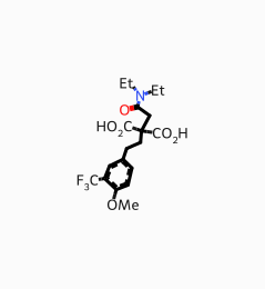 CCN(CC)C(=O)CC(CCc1ccc(OC)c(C(F)(F)F)c1)(C(=O)O)C(=O)O